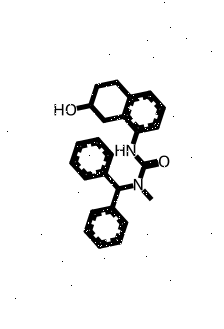 CN(C(=O)Nc1cccc2c1CC(O)CC2)C(c1ccccc1)c1ccccc1